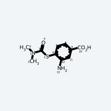 CN(C)C(=O)Sc1ccc(C(=O)O)cc1N